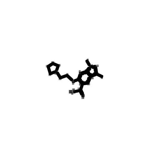 Cc1nn(C)c2nc(OCCN3CCCC3)c(C(N)=O)cc12